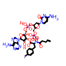 C=CCCC(=O)NC(Cc1ccc(I)cc1)C(=O)O[C@H]1[C@@H](O)[C@H](n2cnc3c(N)ncnc32)O[C@@H]1COP(=O)(O)O[C@H]1C[C@H](n2ccc(N)nc2=O)O[C@H]1COP(=O)(O)O